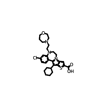 O=C(O)c1cc2c(s1)c(C1CCCCC1)c1n2CCN(CCN2CCCOCC2)c2cc(Cl)ccc2-1